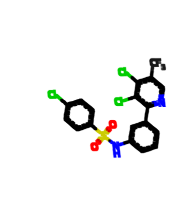 O=S(=O)(Nc1cccc(-c2ncc(C(F)(F)F)c(Cl)c2Cl)c1)c1ccc(Cl)cc1